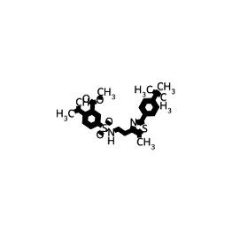 COC(=O)c1cc(S(=O)(=O)NCCc2nc(-c3ccc(C(C)(C)C)cc3)sc2C)ccc1C(C)C